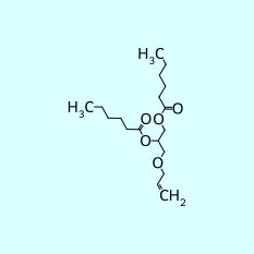 C=CCOCC(COC(=O)CCCCC)OC(=O)CCCCC